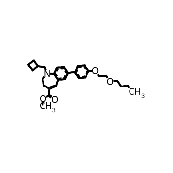 CCCCOCCOc1ccc(-c2ccc3c(c2)C=C(C(=O)OC)CCN3CC2CCC2)cc1